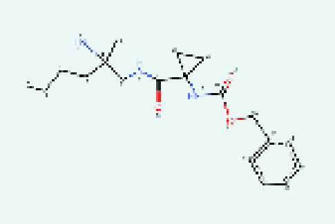 CCCCC(C)(N)CNC(=O)C1(NC(=O)OCc2ccccc2)CC1